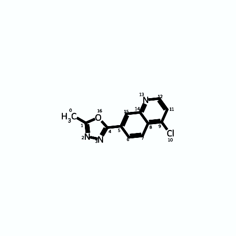 Cc1nnc(-c2ccc3c(Cl)ccnc3c2)o1